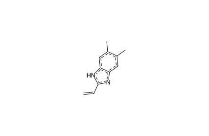 C=Cc1nc2cc(C)c(C)cc2[nH]1